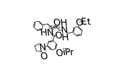 CCOc1cccc(CNC[C@@H](O)[C@H](Cc2ccccc2)NC(=O)c2cc(OC(C)C)cc(N3CCCC3=O)c2)c1